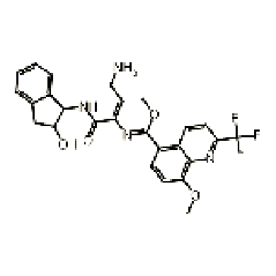 CO/C(=N\C(=C\CN)C(=O)NC1c2ccccc2CC1O)c1ccc(OC)c2nc(C(F)(F)F)ccc12